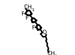 CCCCCCCC1CCC(c2ccc(-c3ccc(-c4ccc(CC)c(F)c4F)cc3)c(F)c2)OC1